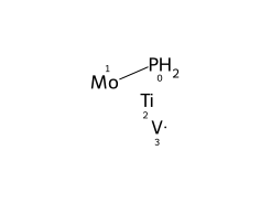 [PH2][Mo].[Ti].[V]